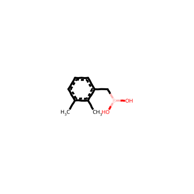 Cc1cccc(CB(O)O)c1C